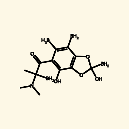 Bc1c(B)c(C(=O)C(B)(C)N(C)C)c(O)c2c1OC(B)(O)O2